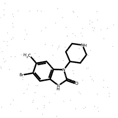 Cc1cc2c(cc1Br)[nH]c(=O)n2C1CCNCC1